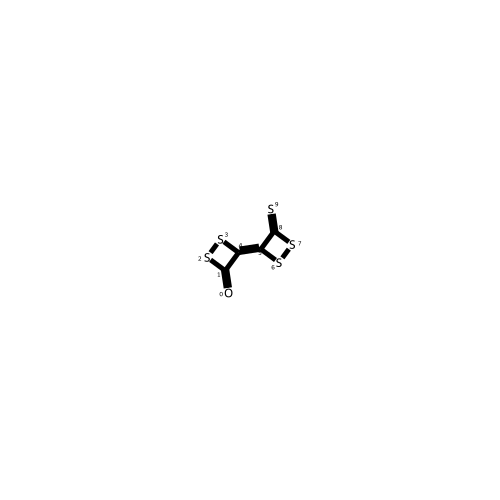 O=C1SS/C1=C1/SSC1=S